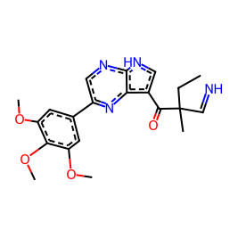 CCC(C)(C=N)C(=O)c1c[nH]c2ncc(-c3cc(OC)c(OC)c(OC)c3)nc12